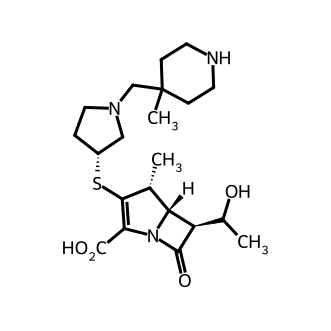 CC(O)[C@H]1C(=O)N2C(C(=O)O)=C(S[C@@H]3CCN(CC4(C)CCNCC4)C3)[C@H](C)[C@H]12